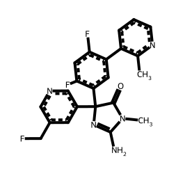 Cc1ncccc1-c1cc(C2(c3cncc(CF)c3)N=C(N)N(C)C2=O)c(F)cc1F